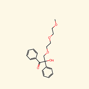 COCCOCCOCC(O)(C(=O)c1ccccc1)c1ccccc1